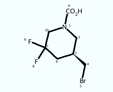 O=C(O)N1C[C@@H](CBr)CC(F)(F)C1